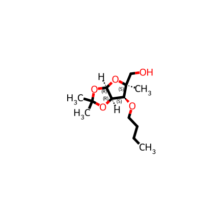 CCCCO[C@H]1[C@H]2OC(C)(C)O[C@H]2O[C@@]1(C)CO